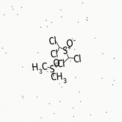 C[S+](C)[O-].[O-][S+](C(Cl)Cl)C(Cl)Cl